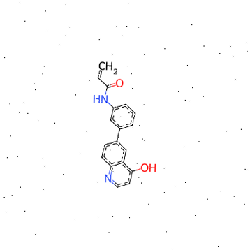 C=CC(=O)Nc1cccc(-c2ccc3nccc(O)c3c2)c1